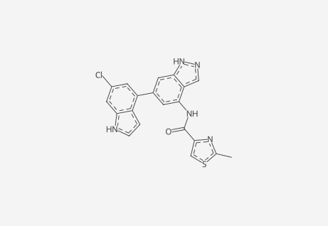 Cc1nc(C(=O)Nc2cc(-c3cc(Cl)cc4[nH]ccc34)cc3[nH]ncc23)cs1